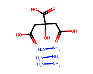 NN.NN.NN.O=C(O)CC(O)(CC(=O)O)C(=O)O